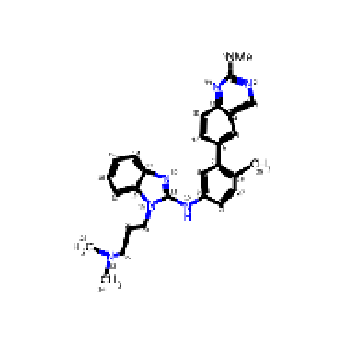 CNc1ncc2cc(-c3cc(Nc4nc5ccccc5n4CCCN(C)C)ccc3C)ccc2n1